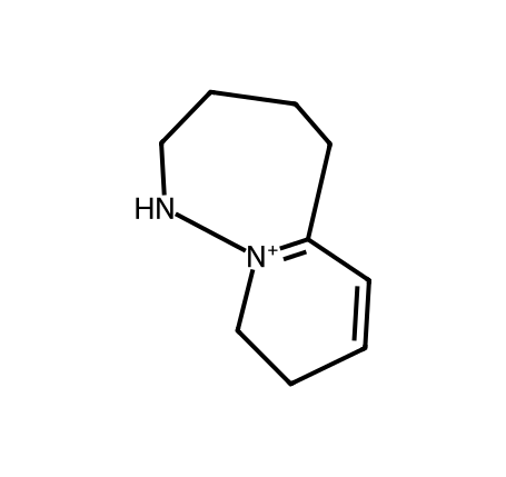 C1=CC2=[N+](CC1)NCCCC2